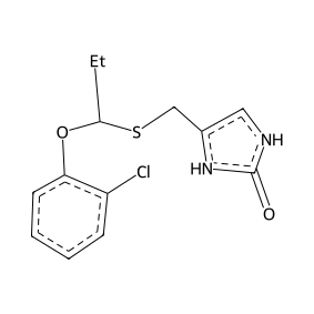 CCC(Oc1ccccc1Cl)SCc1c[nH]c(=O)[nH]1